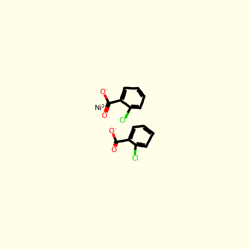 O=C([O-])c1ccccc1Cl.O=C([O-])c1ccccc1Cl.[Ni+2]